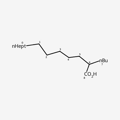 CCCCCCCCCCCCC(CCCC)C(=O)O